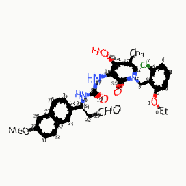 CCOc1cccc(Cl)c1Cn1cc(C)c(O)c(NC(=O)N[C@@H](CC=O)c2ccc3cc(OC)ccc3c2)c1=O